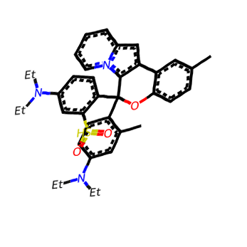 CCN(CC)c1ccc(C2(c3ccc(N(CC)CC)cc3[SH](=O)=O)Oc3ccc(C)cc3-c3cc4ccccn4c32)c(C)c1